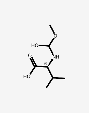 COC(O)N[C@H](C(=O)O)C(C)C